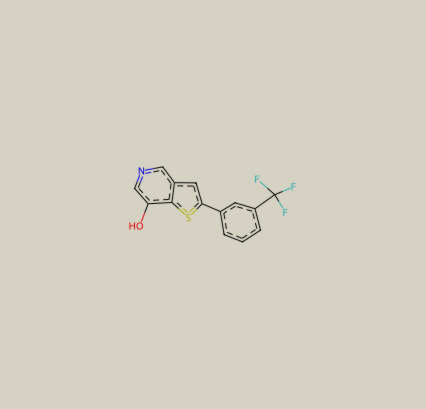 Oc1cncc2cc(-c3cccc(C(F)(F)F)c3)sc12